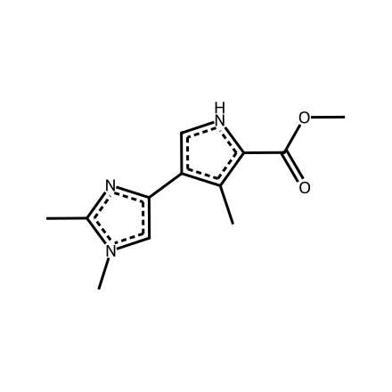 COC(=O)c1[nH]cc(-c2cn(C)c(C)n2)c1C